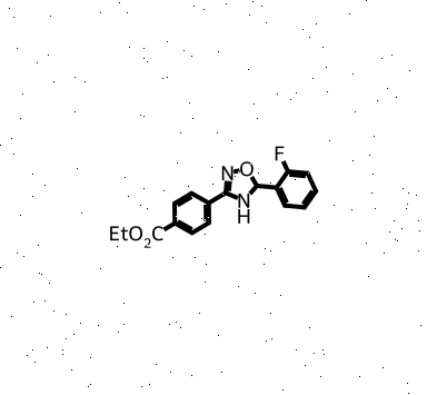 CCOC(=O)c1ccc(C2=NOC(c3ccccc3F)N2)cc1